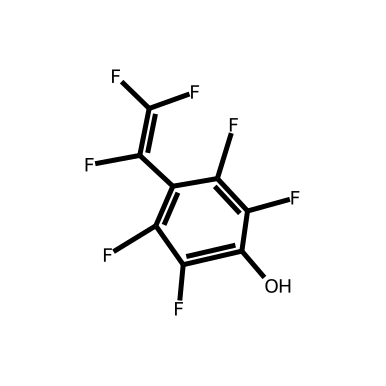 Oc1c(F)c(F)c(C(F)=C(F)F)c(F)c1F